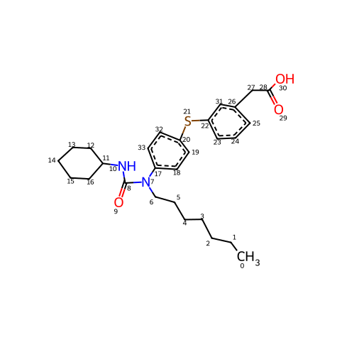 CCCCCCCN(C(=O)NC1CCCCC1)c1ccc(Sc2cccc(CC(=O)O)c2)cc1